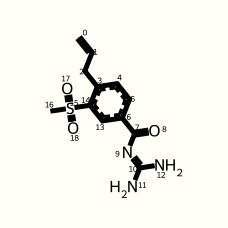 C=CCc1ccc(C(=O)N=C(N)N)cc1S(C)(=O)=O